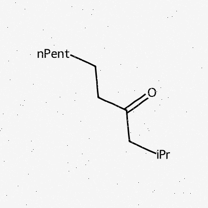 CCCCCCCC(=O)CC(C)C